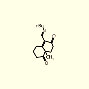 CCCCN=CC1=C2CCCC(=O)C2(C)CCC1=O